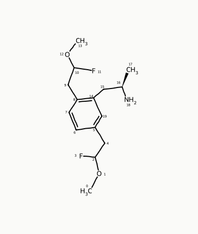 COC(F)Cc1ccc(CC(F)OC)c(C[C@@H](C)N)c1